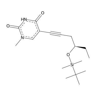 CC[C@H](CC#Cc1cn(C)c(=O)[nH]c1=O)O[Si](C)(C)C(C)(C)C